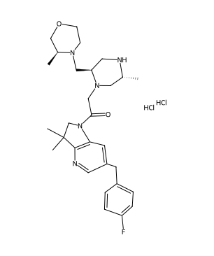 C[C@@H]1CN(CC(=O)N2CC(C)(C)c3ncc(Cc4ccc(F)cc4)cc32)[C@@H](CN2CCOC[C@@H]2C)CN1.Cl.Cl